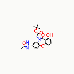 Cc1nc(-c2ccc3c(c2)N(CC(=O)OC(C)(C)C)C(=O)c2c(O)cccc2O3)no1